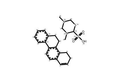 C1=Cc2ccc3c(c2CC1)CCc1ccccc1-3.CN1CSC(S(=O)(=O)O)N(C)C1